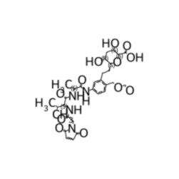 CC(C)[C@H](NC(=O)CN1C(=O)C=CC1=O)C(=O)N[C@@H](C)C(=O)Nc1ccc(COC=O)c(CC[C@@H]2O[C@H](C(=O)O)[C@@H](O)C[C@H]2O)c1